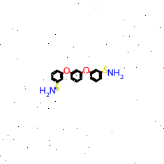 NSc1cccc(Oc2cccc(Oc3cccc(SN)c3)c2)c1